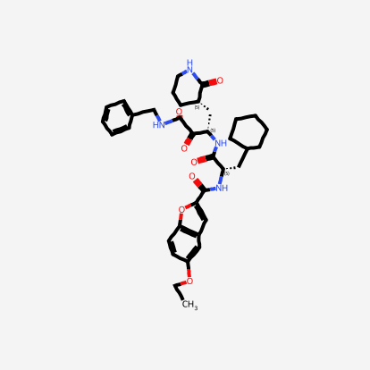 CCOc1ccc2oc(C(=O)N[C@@H](CC3CCCCC3)C(=O)N[C@@H](C[C@@H]3CCCNC3=O)C(=O)C(=O)NCc3ccccc3)cc2c1